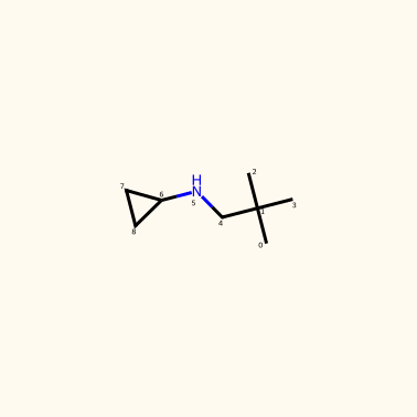 CC(C)(C)CNC1CC1